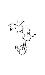 O=c1cc(N2CC3CC[C@@H](C2)O3)nc2n1CCC(C(F)(F)F)N2Cc1ccon1